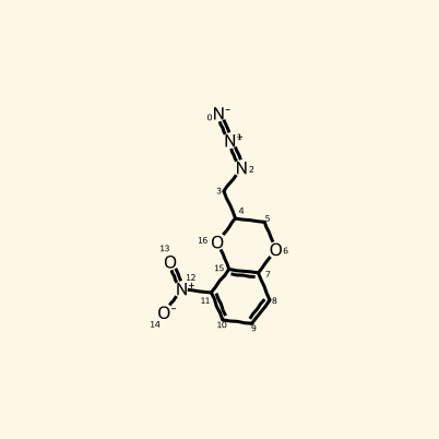 [N-]=[N+]=NCC1COc2cccc([N+](=O)[O-])c2O1